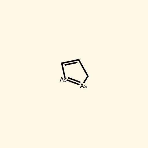 C1=C[As]=[As]C1